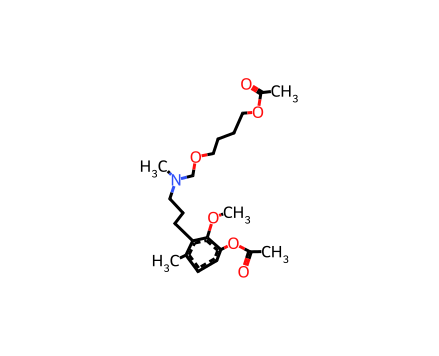 COc1c(OC(C)=O)ccc(C)c1CCCN(C)COCCCCOC(C)=O